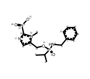 CC(C)P(=O)(NCc1ccccc1)OCc1cnc([N+](=O)[O-])n1C